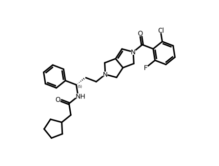 O=C(CC1CCCC1)N[C@@H](CCN1CC2=CN(C(=O)c3c(F)cccc3Cl)CC2C1)c1ccccc1